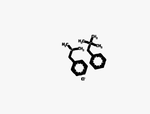 CN(C)Cc1ccccc1.C[N+](C)(C)Cc1ccccc1.[Cl-]